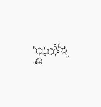 O=S(=O)(Nc1ncc(Cl)s1)c1cc(F)c(Oc2ccc(F)cc2-c2cn[nH]c2)cc1F